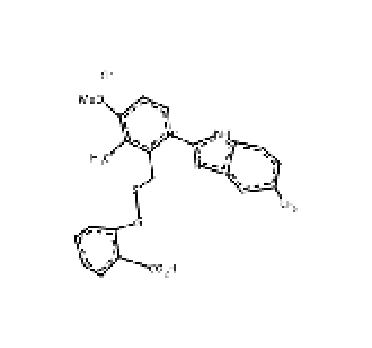 COc1cc[n+](-c2nc3cc(C(F)(F)F)ccc3[nH]2)c(CSSc2ccccc2C(=O)O)c1C.[Cl-]